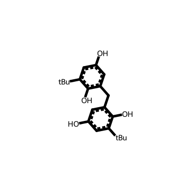 CC(C)(C)c1cc(O)cc(Cc2cc(O)cc(C(C)(C)C)c2O)c1O